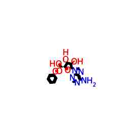 Nc1ncnc2c1ncn2[C@@H]1O[C@H](C(O)OOc2ccccc2)[C@@H](O)[C@H]1O